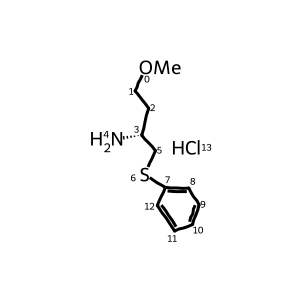 COCC[C@@H](N)CSc1ccccc1.Cl